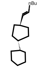 CCCC/C=C/[C@H]1CC[C@H](C2CCCCC2)CC1